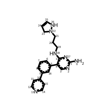 Nc1ncc(-c2cccc(-c3ccncc3)c2)c(NCCCN2CC=CN2)n1